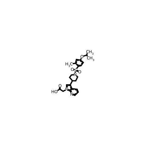 Cc1cc(OC(C)C)ccc1S(=O)(=O)N1CCC(c2cn(CC(=O)O)c3ncccc23)CC1